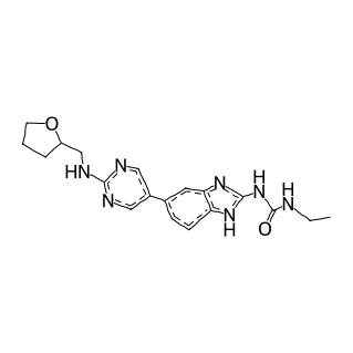 CCNC(=O)Nc1nc2cc(-c3cnc(NCC4CCCO4)nc3)ccc2[nH]1